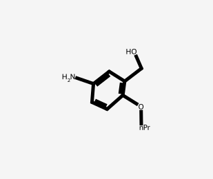 CCCOc1ccc(N)cc1CO